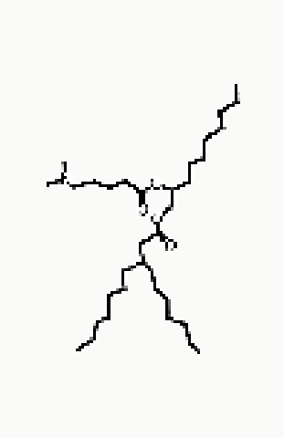 CCCCCCCCC(COC(=O)CC(CCCCCCC)CCCCCCC)OC(=O)CCCCN(C)C